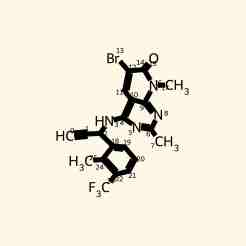 C#CC(Nc1nc(C)nc2c1cc(Br)c(=O)n2C)c1cccc(C(F)(F)F)c1C